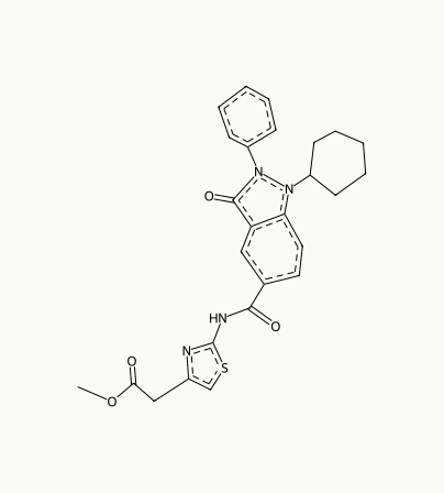 COC(=O)Cc1csc(NC(=O)c2ccc3c(c2)c(=O)n(-c2ccccc2)n3C2CCCCC2)n1